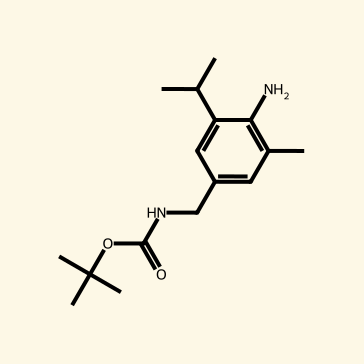 Cc1cc(CNC(=O)OC(C)(C)C)cc(C(C)C)c1N